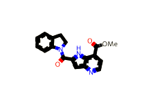 COC(=O)c1ccnc2cc(C(=O)N3CCc4ccccc43)[nH]c12